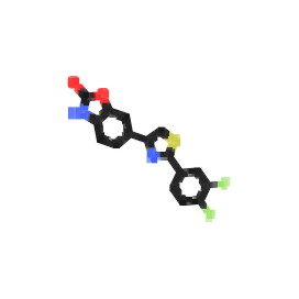 O=c1[nH]c2ccc(-c3csc(-c4ccc(F)c(F)c4)n3)cc2o1